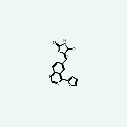 O=C1NC(=O)/C(=C/c2ccc3ncnc(-c4cccs4)c3c2)S1